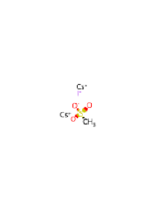 CS(=O)(=O)[O-].[Cs+].[Cs+].[I-]